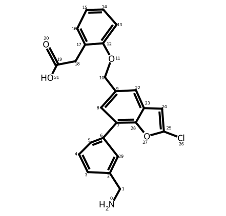 NCc1cccc(-c2cc(COc3ccccc3CC(=O)O)cc3cc(Cl)oc23)c1